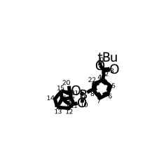 CC(C)(C)OC(=O)c1cccc(B2OC3CC4CC(C4(C)C)C3(C)O2)c1